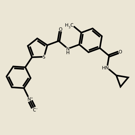 [C-]#[N+]c1cccc(-c2ccc(C(=O)Nc3cc(C(=O)NC4CC4)ccc3C)s2)c1